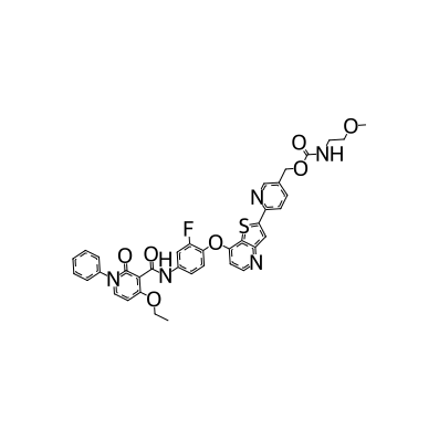 CCOc1ccn(-c2ccccc2)c(=O)c1C(=O)Nc1ccc(Oc2ccnc3cc(-c4ccc(COC(=O)NCCOC)cn4)sc23)c(F)c1